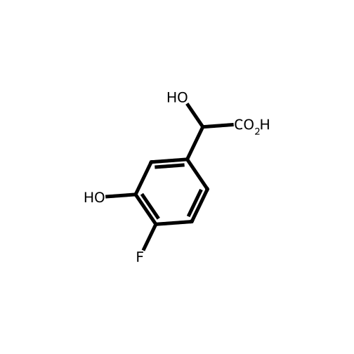 O=C(O)C(O)c1ccc(F)c(O)c1